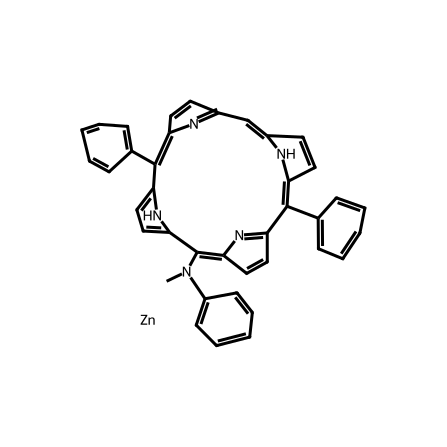 CN(c1ccccc1)c1c2nc(c(-c3ccccc3)c3ccc(cc4nc(c(-c5ccccc5)c5ccc1[nH]5)C=C4)[nH]3)C=C2.[Zn]